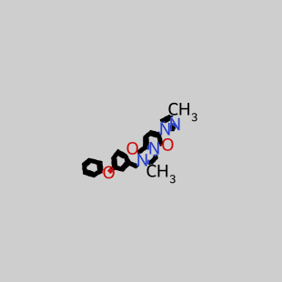 Cc1cn(-c2ccc3n(c2=O)CC(C)N(Cc2cccc(Oc4ccccc4)c2)C3=O)cn1